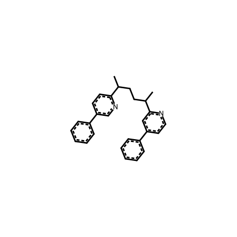 CC(CCC(C)c1cc(-c2ccccc2)ccn1)c1ccc(-c2ccccc2)cn1